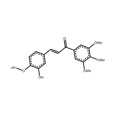 CCCOc1ccc(/C=C/C(=O)c2cc(OC)c(OC)c(OC)c2)cc1O